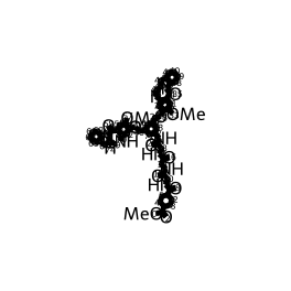 COC(=O)C1CCC(C(=O)NCC(=O)NCC(=O)NCC(=O)Nc2cc(COc3cc4c(cc3OC)C(=O)N3c5ccccc5CC3C=N4)cc(COc3cc4c(cc3OC)C(=O)N3c5ccccc5C[C@H]3CN4)c2)CC1